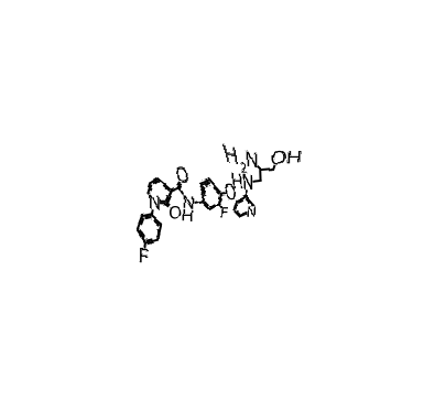 NC(CO)CNc1cnccc1Oc1ccc(NC(=O)c2cccn(-c3ccc(F)cc3)c2=O)cc1F